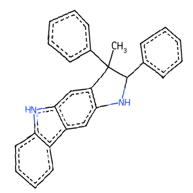 CC1(c2ccccc2)c2cc3[nH]c4ccccc4c3cc2NC1c1ccccc1